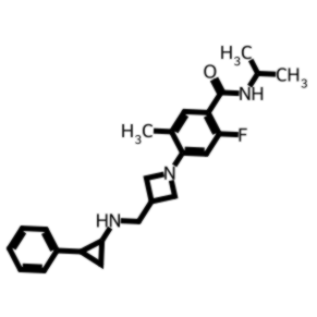 Cc1cc(C(=O)NC(C)C)c(F)cc1N1CC(CNC2CC2c2ccccc2)C1